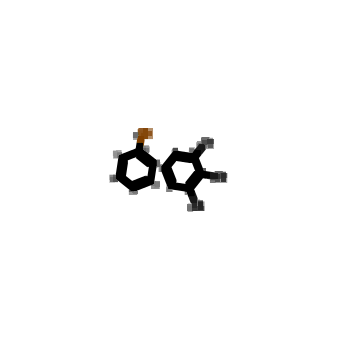 CCc1cccc(CC)c1CC.Sc1ccccc1